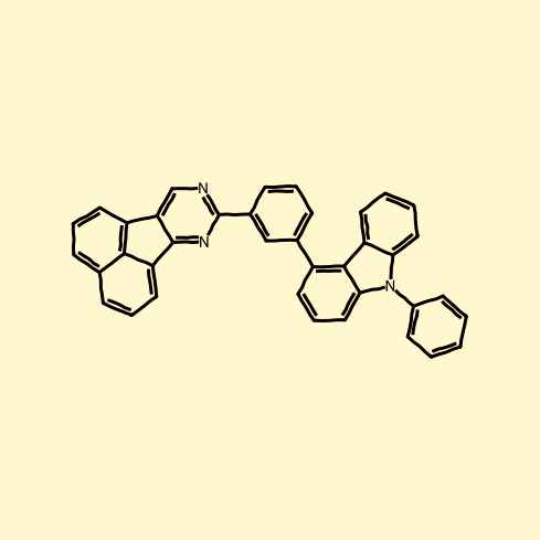 c1ccc(-n2c3ccccc3c3c(-c4cccc(-c5ncc6c(n5)-c5cccc7cccc-6c57)c4)cccc32)cc1